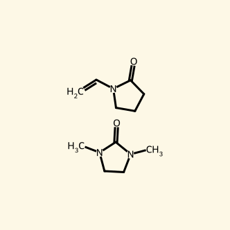 C=CN1CCCC1=O.CN1CCN(C)C1=O